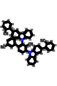 N#Cc1cccc(-c2ccc(-n3c4ccccc4c4cc(-c5ccccc5C#N)ccc43)c(C#N)c2-n2c3ccccc3c3cc(-c4ccccc4C#N)ccc32)c1